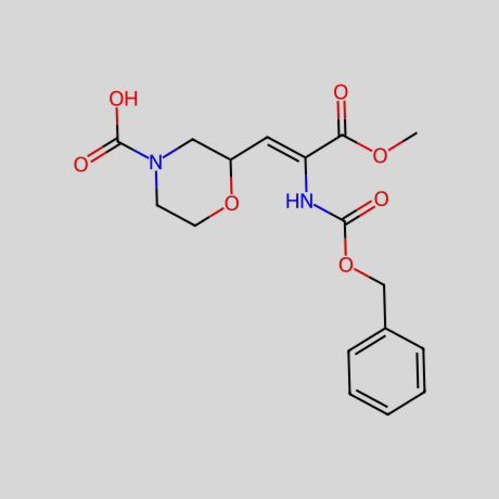 COC(=O)C(=CC1CN(C(=O)O)CCO1)NC(=O)OCc1ccccc1